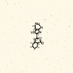 O=c1oc(-c2nc3ncncc3[nH]2)nc2ccccc12